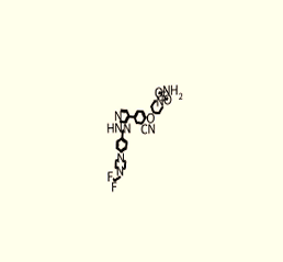 N#CC1CC(c2ccnc3[nH]c(-c4ccc(N5CCN(CC(F)F)CC5)cc4)nc23)=CC=C1OC1CCN(S(N)(=O)=O)CC1